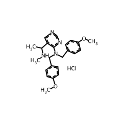 CNC(C)c1cncnc1N(Cc1ccc(OC)cc1)Cc1ccc(OC)cc1.Cl